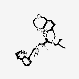 CC(C)CN(CC1C=CC2=C(N1)OCCOC2)C(=O)[C@H](C)CNCc1cccc2cc[nH]c12